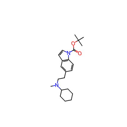 CN(CCc1ccc2c(ccn2C(=O)OC(C)(C)C)c1)C1CCCCC1